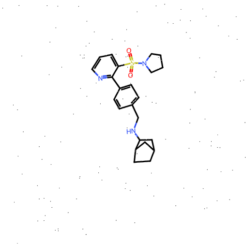 O=S(=O)(c1cccnc1-c1ccc(CNC2CC3CCC2C3)cc1)N1CCCC1